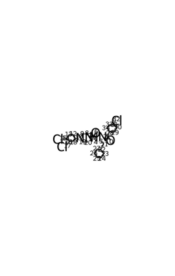 O=C(N[C@@H](CC(=O)N1CCN(c2ccc(Cl)c(Cl)c2)CC1)Cc1ccccc1)c1ccc(Cl)cc1